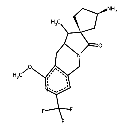 COc1nc(C(F)(F)F)cc2c1CC1C(C)[C@@]3(CC[C@@H](N)C3)C(=O)N1C2